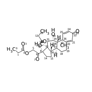 CCC(=O)OCC(=O)[C@]1(OC(=O)CC)CC[C@H]2[C@@H]3CCC4=CC(=O)C=C[C@]4(C)[C@H]3[C@@H](O)C[C@@]21C